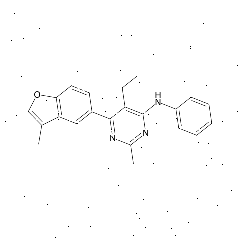 CCc1c(Nc2ccccc2)nc(C)nc1-c1ccc2occ(C)c2c1